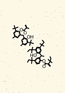 C=C(C(=O)Oc1ccc(C(C)(C)CC)cc1C(C)c1cc(C(C)(C)CC)cc(C(C)(C)CC)c1O)C(C)(C)CC.C=C(C)C(=O)Oc1c(Cc2cc(C)cc(C(C)(C)C)c2O)cc(C)cc1C(C)(C)C